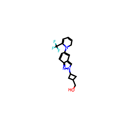 OCC1CC(n2cc3cc(N4CC=CC=C4C(F)(F)F)ccc3n2)C1